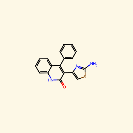 Nc1nc(-c2c(-c3ccccc3)c3ccccc3[nH]c2=O)cs1